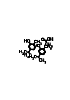 CC(=O)O.Cc1ccc(C(C)C)cc1O.Cc1ccc(C(C)C)cc1O